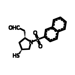 O=CC[C@H]1C[C@@H](S)CN1S(=O)(=O)c1ccc2ccccc2c1